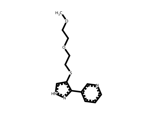 COCCOCCSc1c[nH]nc1-c1cccnc1